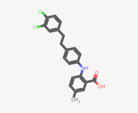 Cc1ccc(Nc2ccc(CCc3ccc(Cl)c(Cl)c3)cc2)c(C(=O)O)c1